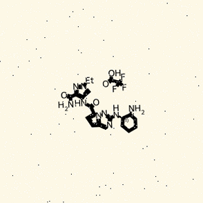 CCn1cc(NC(=O)c2ccc3cnc(N[C@@H]4CCCC[C@@H]4N)nn23)c(C(N)=O)n1.O=C(O)C(F)(F)F